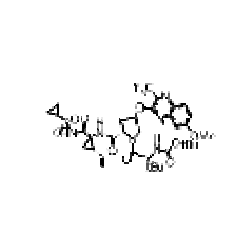 C=C[C@@H]1C[C@]1(NC(=O)[C@@H]1C[C@@H](Oc2nc3cc(OC)ccc3nc2C(F)(F)F)CN1C(=O)[C@@H](NC(=O)OC(C)(C)C)C(C)(C)C)C(=O)NS(=O)(=O)C1CC1